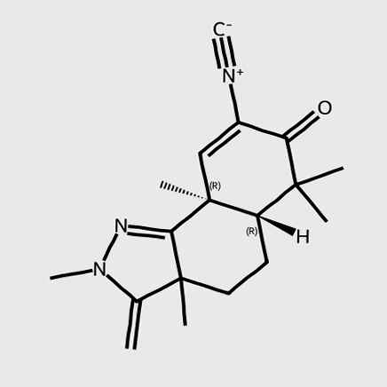 [C-]#[N+]C1=C[C@]2(C)C3=NN(C)C(=C)C3(C)CC[C@H]2C(C)(C)C1=O